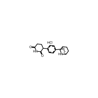 Cl.O=C1CCC(c2ccc(N3CC4CCC3CN4)cc2)C(=O)N1